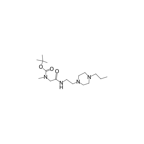 CCCN1CCN(CCNC(=O)CN(C)C(=O)OC(C)(C)C)CC1